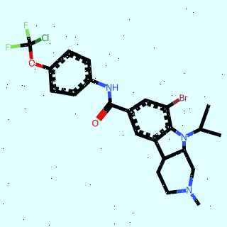 CC(C)N1c2c(Br)cc(C(=O)Nc3ccc(OC(F)(F)Cl)cc3)cc2C2CCN(C)CC21